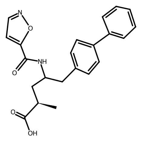 C[C@H](CC(Cc1ccc(-c2ccccc2)cc1)NC(=O)c1ccno1)C(=O)O